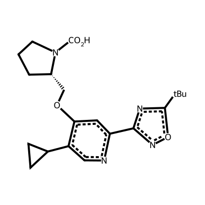 CC(C)(C)c1nc(-c2cc(OC[C@@H]3CCCN3C(=O)O)c(C3CC3)cn2)no1